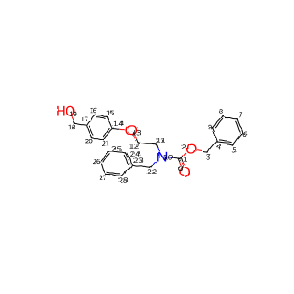 O=C(OCc1ccccc1)N(CCOc1ccc(CO)cc1)Cc1ccccc1